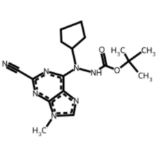 Cn1cnc2c(N(NC(=O)OC(C)(C)C)C3CCCC3)nc(C#N)nc21